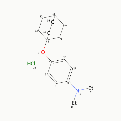 CCN(CC)c1ccc(OC23CCC(CC2)CC3)cc1.Cl